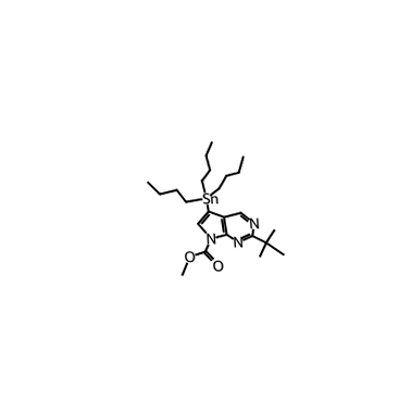 CCC[CH2][Sn]([CH2]CCC)([CH2]CCC)[c]1cn(C(=O)OC)c2nc(C(C)(C)C)ncc12